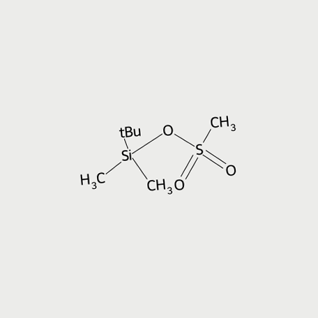 CC(C)(C)[Si](C)(C)OS(C)(=O)=O